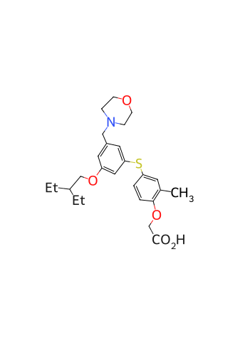 CCC(CC)COc1cc(CN2CCOCC2)cc(Sc2ccc(OCC(=O)O)c(C)c2)c1